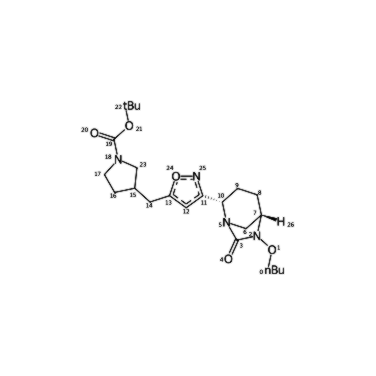 CCCCON1C(=O)N2C[C@@H]1CC[C@H]2c1cc(CC2CCN(C(=O)OC(C)(C)C)C2)on1